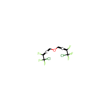 FC(=C=COC=C=C(F)C(F)(F)Cl)C(F)(F)Cl